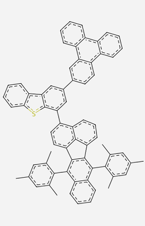 Cc1cc(C)c(-c2c3c(c(-c4c(C)cc(C)cc4C)c4ccccc24)-c2ccc(-c4cc(-c5ccc6c7ccccc7c7ccccc7c6c5)cc5c4sc4ccccc45)c4cccc-3c24)c(C)c1